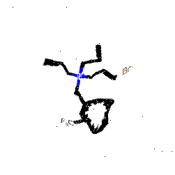 C=CC[N+](CC=C)(CC=C)Cc1ccccc1C(F)(F)F.[Br-]